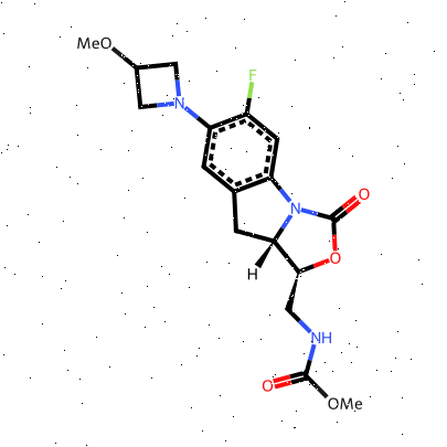 COC(=O)NC[C@@H]1OC(=O)N2c3cc(F)c(N4CC(OC)C4)cc3C[C@@H]12